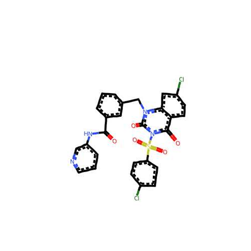 O=C(Nc1cccnc1)c1cccc(Cn2c(=O)n(S(=O)(=O)c3ccc(Cl)cc3)c(=O)c3ccc(Cl)cc32)c1